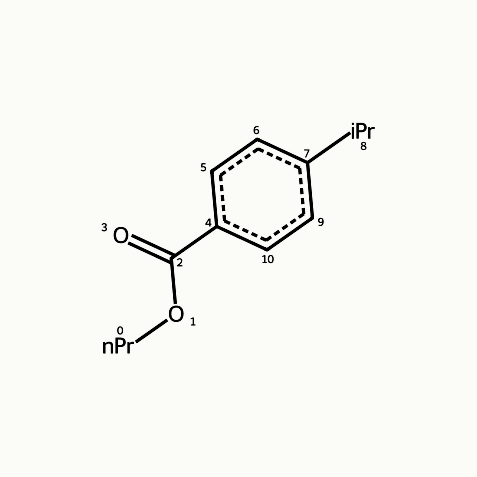 CCCOC(=O)c1ccc(C(C)C)cc1